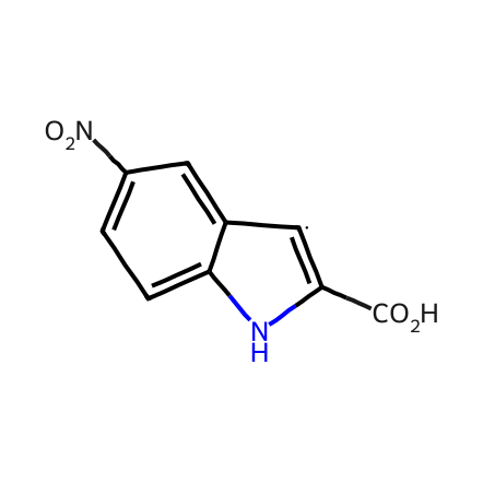 O=C(O)c1[c]c2cc([N+](=O)[O-])ccc2[nH]1